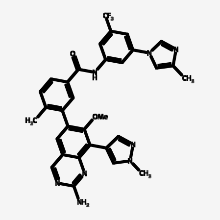 COc1c(-c2cc(C(=O)Nc3cc(-n4cnc(C)c4)cc(C(F)(F)F)c3)ccc2C)cc2cnc(N)nc2c1-c1cnn(C)c1